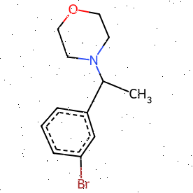 CC(c1cccc(Br)c1)N1CCOCC1